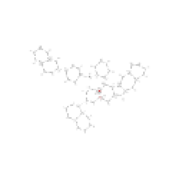 c1cc(-c2cccc3ccccc23)cc(N(c2ccc(-c3ccc4ccccc4c3)cc2)c2ccccc2-c2cccc3oc4cc5ccccc5cc4c23)c1